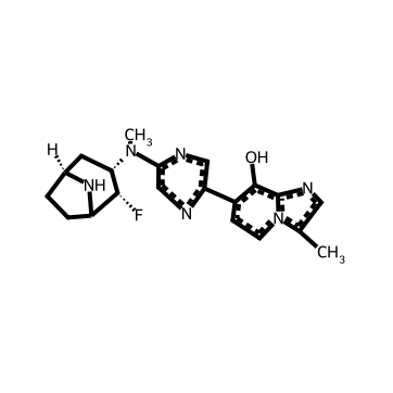 Cc1cnc2c(O)c(-c3cnc(N(C)[C@H]4C[C@@H]5CCC(N5)[C@H]4F)cn3)ccn12